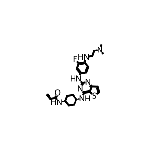 C=CC(=O)N[C@H]1CC[C@@H](Nc2nc(Nc3ccc(NCCN(C)C)c(F)c3)nc3ccsc23)CC1